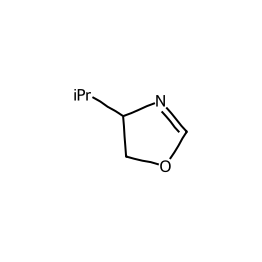 CC(C)C1COC=N1